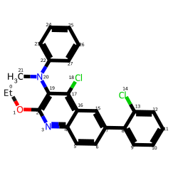 CCOc1nc2ccc(-c3cc[c]cc3Cl)cc2c(Cl)c1N(C)c1ccccc1